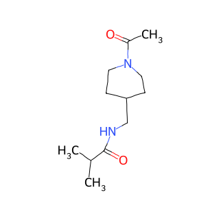 CC(=O)N1CCC(CNC(=O)C(C)C)CC1